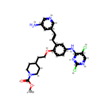 CC(C)(C)OC(=O)N1CCC(CCOc2ccc(Nc3nc(Cl)ncc3Cl)cc2C=Cc2cncc(N)c2)CC1